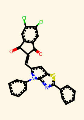 O=C1C(=Cc2cc3sc(-c4ccccc4)nc3n2-c2ccccc2)C(=O)c2cc(Cl)c(Cl)cc21